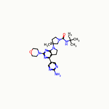 CC(C)(C)NC(=O)N1CC[C@@](C)(N2CCc3c(-c4cnc(N)nc4)nc(N4CCOCC4)nc32)C1